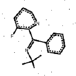 CC(C)(C)/N=C(\c1ccccc1)c1ncccc1F